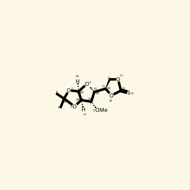 CO[C@@H]1[C@H]2OC(C)(C)O[C@H]2O[C@@H]1[C@H]1COC(=S)O1